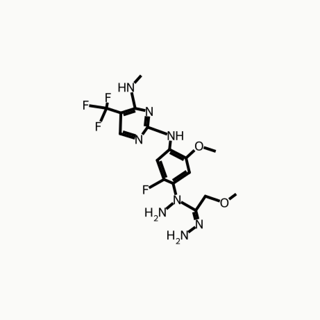 CNc1nc(Nc2cc(F)c(N(N)/C(COC)=N\N)cc2OC)ncc1C(F)(F)F